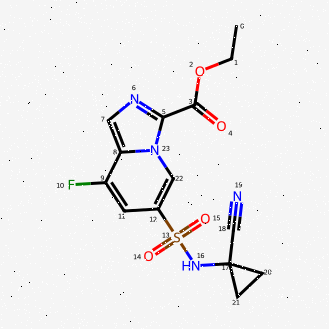 CCOC(=O)c1ncc2c(F)cc(S(=O)(=O)NC3(C#N)CC3)cn12